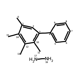 Cc1cc(-c2ccccc2)c(C)c(C)c1C.NN